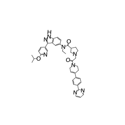 CCN(C(=O)C1CCN(CC(=O)N2CC=C(c3ccc(-c4ncccn4)cc3)CC2)C1)c1ccc2[nH]nc(-c3ccc(OC(C)C)nc3)c2c1